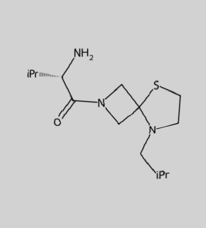 CC(C)CN1CCSC12CN(C(=O)[C@@H](N)C(C)C)C2